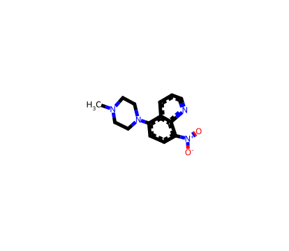 CN1CCN(c2ccc([N+](=O)[O-])c3ncccc23)CC1